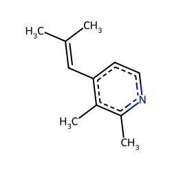 CC(C)=Cc1ccnc(C)c1C